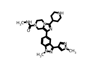 CNC(=O)N1CCn2c(C3CCNCC3)nc(-c3ccc4c(c3)c(-c3cnn(C)c3)nn4C)c2C1